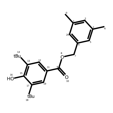 Cc1cc(C)cc(COC(=O)c2cc(C(C)(C)C)c(O)c(C(C)(C)C)c2)c1